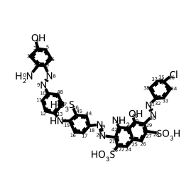 Nc1cc(O)ccc1N=Nc1ccc(Nc2ccc(N=Nc3c(S(=O)(=O)O)cc4cc(S(=O)(=O)O)c(N=Nc5ccc(Cl)cc5)c(O)c4c3N)cc2S(=O)(=O)O)cc1